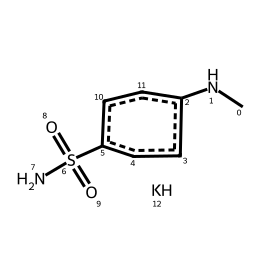 CNc1ccc(S(N)(=O)=O)cc1.[KH]